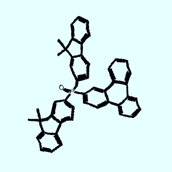 CC1(C)c2ccccc2-c2ccc(P(=O)(c3ccc4c(c3)C(C)(C)c3ccccc3-4)c3ccc4c5ccccc5c5ccccc5c4c3)cc21